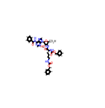 O=C(NCCCC[C@H](NC(=O)OCc1ccccc1)C(=O)N[C@H]1[C@@H](O)[C@H](n2cnc3c(NC(=O)c4ccccc4)ncnc32)O[C@@H]1C(=O)O)OCc1ccccc1